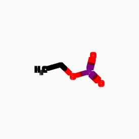 CCOP(=O)=O